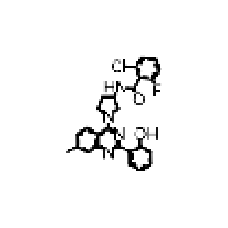 Cc1ccc2c(N3CCC(NC(=O)c4c(F)cccc4Cl)C3)nc(-c3ccccc3O)nc2c1